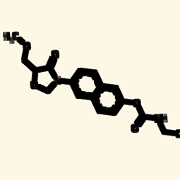 CCNC(=O)Oc1ccc2cc(N3COC(COC)C3=O)ccc2c1